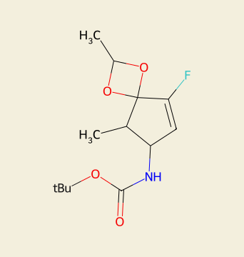 CC1OC2(O1)C(F)=CC(NC(=O)OC(C)(C)C)C2C